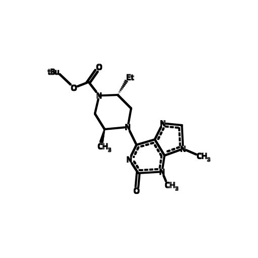 CC[C@@H]1CN(c2nc(=O)n(C)c3c2ncn3C)[C@@H](C)CN1C(=O)OC(C)(C)C